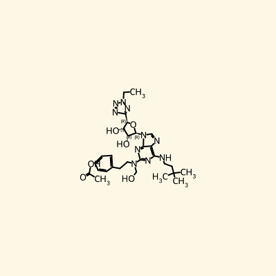 CC(=O)O.CCn1nnc([C@H]2O[C@@H](n3cnc4c(NCCC(C)(C)C)nc(N(CO)CCc5ccccc5)nc43)[C@H](O)[C@@H]2O)n1